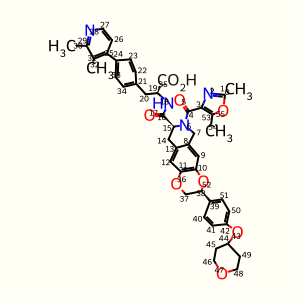 Cc1nc(C(=O)N2Cc3cc4c(cc3C[C@H]2C(=O)N[C@@H](Cc2ccc(-c3ccnc(C)c3C)cc2)C(=O)O)OC[C@H](c2ccc(OC3CCOCC3)cc2)O4)c(C)o1